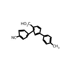 Cc1ccc(-c2ccc(C(=O)O)c(-c3ccc(C#N)cc3)c2)cc1